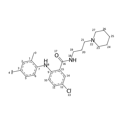 Cc1cc(I)ccc1Nc1ccc(Cl)cc1C(=O)NCCCN1CCCCC1